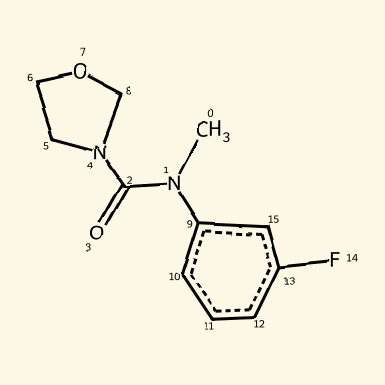 CN(C(=O)N1CCOC1)c1cccc(F)c1